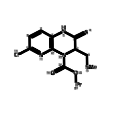 CSCC1C(=S)Nc2ccc(Cl)nc2N1C(=O)OC(C)C